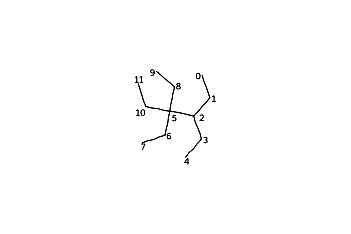 CCC(CC)C(CC)(CC)CC